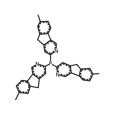 Cc1ccc2c(c1)Cc1cc(P(c3cc4c(cn3)-c3ccc(C)cc3C4)c3cc4c(cn3)-c3ccc(C)cc3C4)ncc1-2